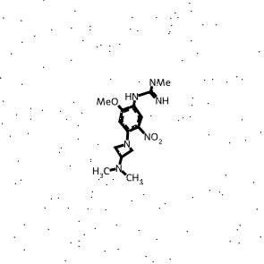 CNC(=N)Nc1cc([N+](=O)[O-])c(N2CC(N(C)C)C2)cc1OC